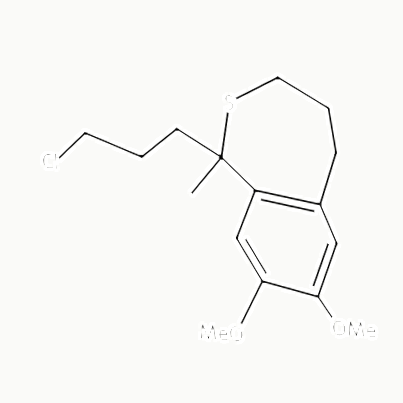 COc1cc2c(cc1OC)C(C)(CCCCl)SCCC2